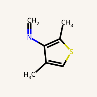 C=Nc1c(C)csc1C